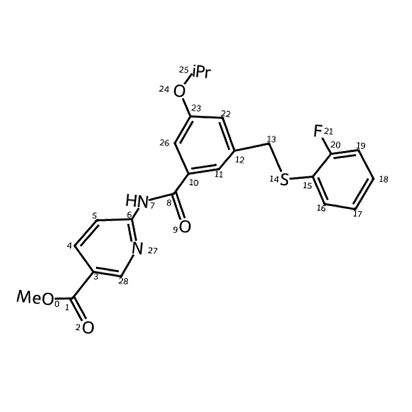 COC(=O)c1ccc(NC(=O)c2cc(CSc3ccccc3F)cc(OC(C)C)c2)nc1